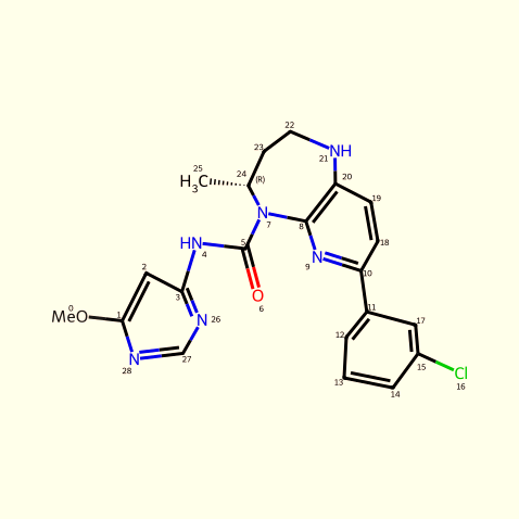 COc1cc(NC(=O)N2c3nc(-c4cccc(Cl)c4)ccc3NCC[C@H]2C)ncn1